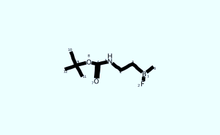 CB(F)CCNC(=O)OC(C)(C)C